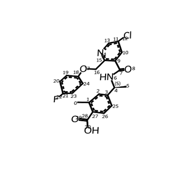 Cc1cc([C@H](C)NC(=O)c2cc(Cl)cnc2COc2ccc(F)cc2)ccc1C(=O)O